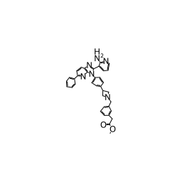 COC(=O)Cc1cccc(CN2CC(c3ccc(-n4c(-c5cccnc5N)nc5ccc(-c6ccccc6)nc54)cc3)C2)c1